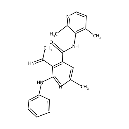 CC(=N)c1c(C(=O)Nc2c(C)ccnc2C)cc(C)nc1Nc1ccccc1